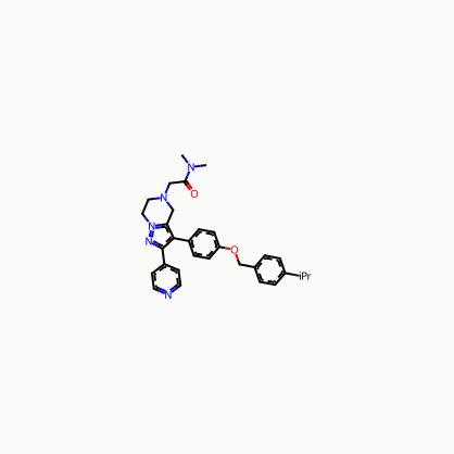 CC(C)c1ccc(COc2ccc(-c3c(-c4ccncc4)nn4c3CN(CC(=O)N(C)C)CC4)cc2)cc1